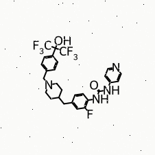 O=C(Nc1ccncc1)Nc1ccc(CC2CCN(Cc3ccc(C(O)(C(F)(F)F)C(F)(F)F)cc3)CC2)cc1F